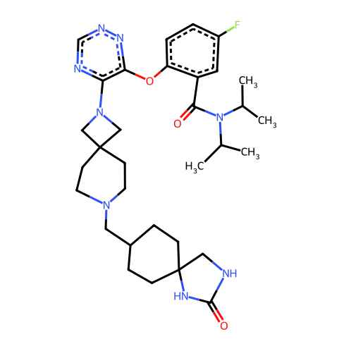 CC(C)N(C(=O)c1cc(F)ccc1Oc1nncnc1N1CC2(CCN(CC3CCC4(CC3)CNC(=O)N4)CC2)C1)C(C)C